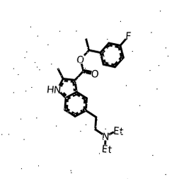 CCN(CC)CCc1ccc2[nH]c(C)c(C(=O)OC(C)c3cccc(F)c3)c2c1